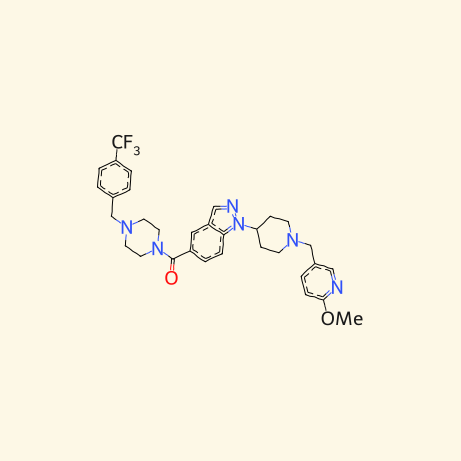 COc1ccc(CN2CCC(n3ncc4cc(C(=O)N5CCN(Cc6ccc(C(F)(F)F)cc6)CC5)ccc43)CC2)cn1